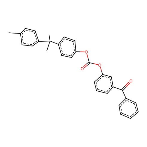 Cc1ccc(C(C)(C)c2ccc(OC(=O)Oc3cccc(C(=O)c4ccccc4)c3)cc2)cc1